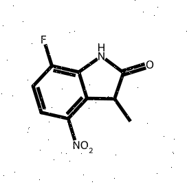 CC1C(=O)Nc2c(F)ccc([N+](=O)[O-])c21